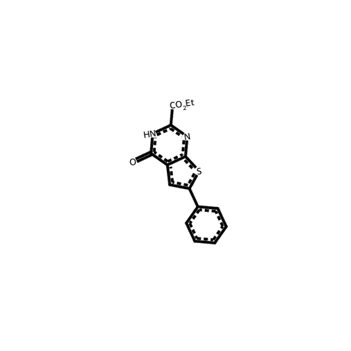 CCOC(=O)c1nc2sc(-c3ccccc3)cc2c(=O)[nH]1